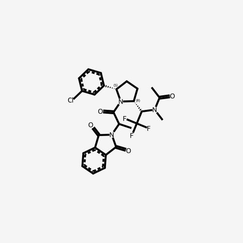 CC(=O)N(C)C([C@H]1CC[C@@H](c2cccc(Cl)c2)N1C(=O)C(C)N1C(=O)c2ccccc2C1=O)C(F)(F)F